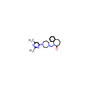 Cc1cc(N2CCCN(CN3C(=O)CCCc4ccccc43)CC2)nc(C)n1